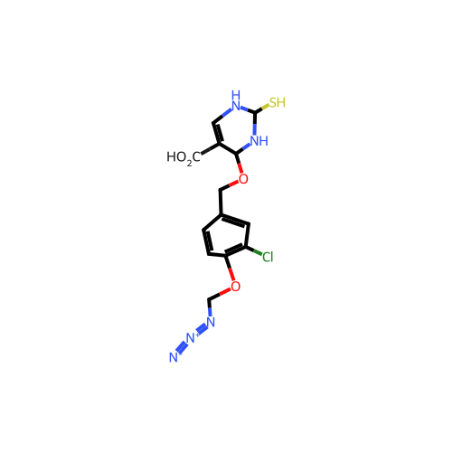 [N-]=[N+]=NCOc1ccc(COC2NC(S)NC=C2C(=O)O)cc1Cl